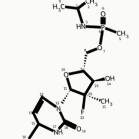 CC(C)NP(C)(=O)OC[C@H]1O[C@@H](N2C=CC(O)NC2=O)[C@](C)(F)[C@@H]1O